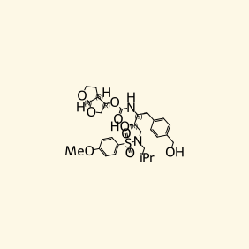 COc1ccc(S(=O)(=O)N(CC(C)C)C[C@@H](O)[C@H](Cc2ccc(CO)cc2)NC(=O)O[C@H]2CO[C@H]3OCC[C@H]32)cc1